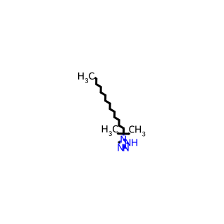 CCCCCCCCCCCCCCC(CC)(CC)N1CN=NN1